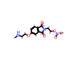 CNCCOc1ccc2c(c1)C(=O)N(CCO[N+](=O)[O-])C2=O